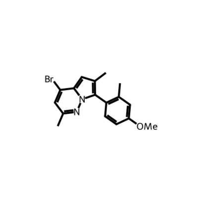 COc1ccc(-c2c(C)cc3c(Br)cc(C)nn23)c(C)c1